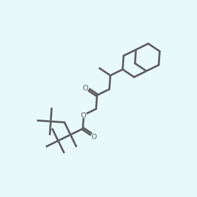 CC(CC(=O)COC(=O)C(C)(CC(C)(C)C)C(C)(C)C)C1CC2CCCC(C2)C1